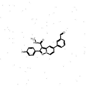 CNC(=O)c1c(-c2ccc(F)cc2)nn2ccc(-c3cccc(C=O)c3)cc12